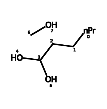 CCCCCC(O)O.CO